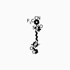 C[C@@H]1CN(C(=O)c2ccco2)[C@@H](C)CN1CCCCCCN1C(=S)N(c2ccc(C#N)c(C(F)(F)F)c2)C(=O)C1(C)C